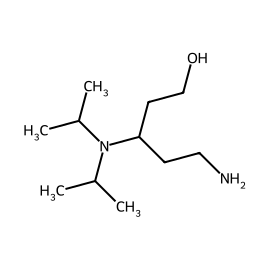 CC(C)N(C(C)C)C(CCN)CCO